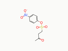 CC(=O)CCS(=O)(=O)Oc1ccc([N+](=O)[O-])cc1